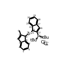 CC1=Cc2ccccc2[CH]1[Zr+2][CH]1C(P(C(C)(C)C)C(C)(C)C)=Cc2ccccc21.[Cl-].[Cl-]